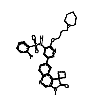 CN1C(=O)C2(CCC2)c2c1cnc1ccc(-c3cnc(OCCCN4CCCCC4)c(NS(=O)(=O)c4ccccc4F)c3)cc21